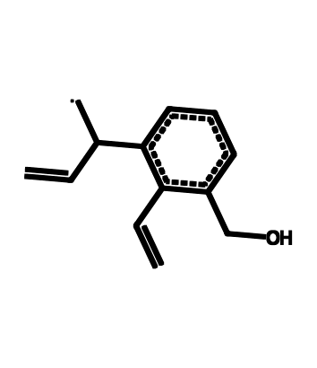 [CH2]C(C=C)c1cccc(CO)c1C=C